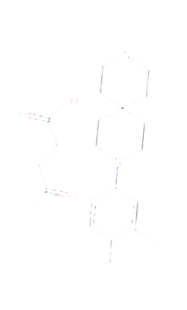 Fc1ccc(N2CCC3(CCNCC3)CC2)cc1Cl.O=C(O)/C=C/C(=O)O